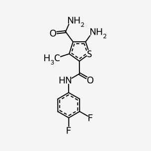 Cc1c(C(=O)Nc2ccc(F)c(F)c2)sc(N)c1C(N)=O